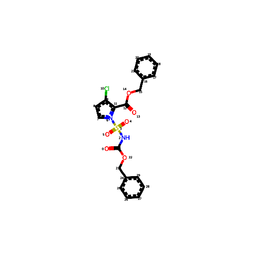 O=C(NS(=O)(=O)n1ccc(Cl)c1C(=O)OCc1ccccc1)OCc1ccccc1